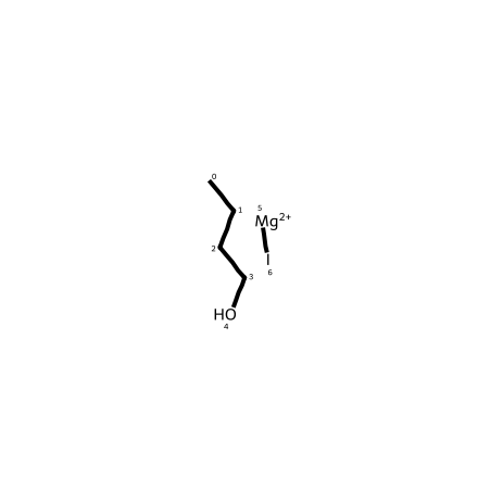 CCCCO.[Mg+2][I]